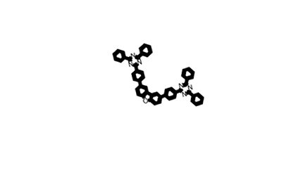 c1ccc(-c2nc(-c3ccccc3)nc(-c3ccc(-c4ccc5oc6ccc(-c7ccc(-c8nc(-c9ccccc9)nc(-c9ccccc9)n8)cc7)cc6c5c4)cc3)n2)cc1